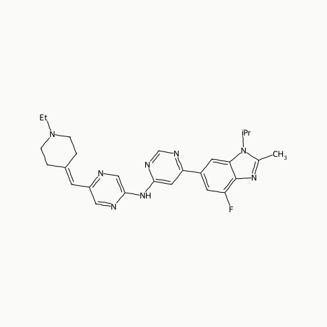 CCN1CCC(=Cc2cnc(Nc3cc(-c4cc(F)c5nc(C)n(C(C)C)c5c4)ncn3)cn2)CC1